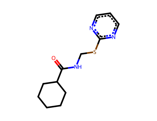 O=C(NCSc1ncccn1)C1CCCCC1